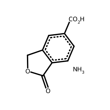 N.O=C(O)c1ccc2c(c1)COC2=O